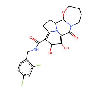 O=C(NCc1ccc(F)cc1F)C1=C2CCC3C4OCCCCN4C(=O)C(=C(O)C1O)N23